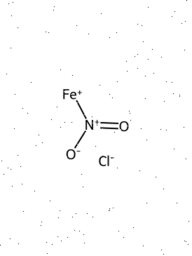 O=[N+]([O-])[Fe+].[Cl-]